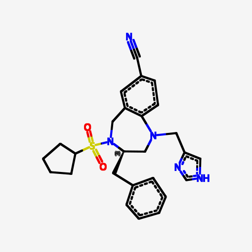 N#Cc1ccc2c(c1)CN(S(=O)(=O)C1CCCC1)[C@H](Cc1ccccc1)CN2Cc1c[nH]cn1